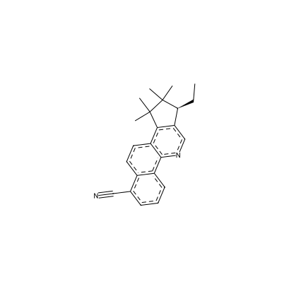 CC[C@H]1c2cnc3c(ccc4c(C#N)cccc43)c2C(C)(C)C1(C)C